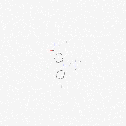 CCN(CC)C(=O)c1ccc(N(c2cccc(SC)c2)C2CC3CCC(C2)N3C)cc1.Cl